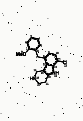 COc1ccccc1Cc1ccc(Cl)c2[nH]c3c(c12)CNCC3